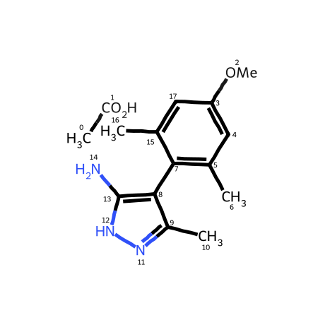 CC(=O)O.COc1cc(C)c(-c2c(C)n[nH]c2N)c(C)c1